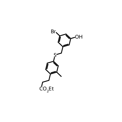 CCOC(=O)CCc1ccc(SCc2cc(O)cc(Br)c2)cc1C